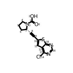 O=C(O)N1CCC[C@H]1C#Cc1cc2c(Cl)ncnc2s1